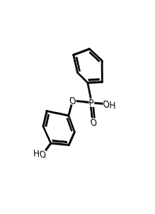 O=P(O)(Oc1ccc(O)cc1)c1ccccc1